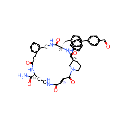 NC(=O)[C@@H]1CCNC(=O)/C=C/C(=O)N2CCC[C@](Cc3ccccc3)(C2)C(=O)N[C@@H](Cc2ccc(-c3ccc(C=O)cc3)cc2)C(=O)NCc2ccccc2CC(=O)N1